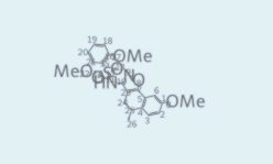 COc1ccc2c(c1)-c1onc(NS(=O)(=O)c3c(OC)cccc3OC)c1C[C@@H]2C